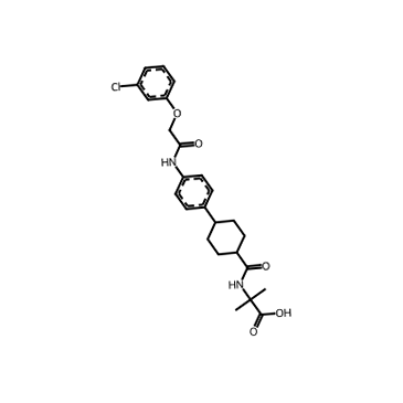 CC(C)(NC(=O)C1CCC(c2ccc(NC(=O)COc3cccc(Cl)c3)cc2)CC1)C(=O)O